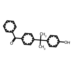 CC(C)(c1ccc(O)cc1)c1ccc(C(=O)c2ccccc2)cc1